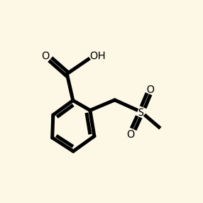 CS(=O)(=O)Cc1ccccc1C(=O)O